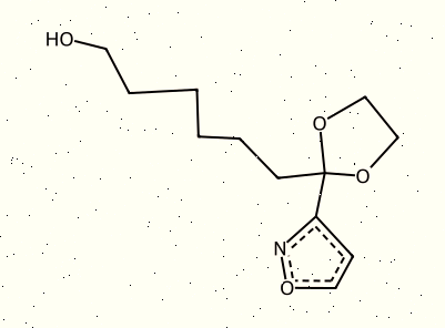 OCCCCCCC1(c2ccon2)OCCO1